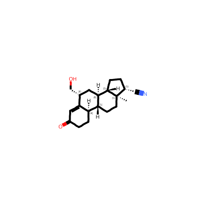 C[C@]12CC[C@H]3[C@@H](C[C@@H](CO)C4=CC(=O)CC[C@@H]43)[C@@H]1CC[C@@H]2C#N